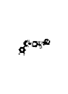 CC1(NC(=O)C2CCN(c3nccc(-c4ccc(F)c(F)c4)n3)CC2)CCN2CCC1CC2